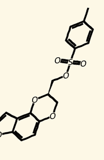 Cc1ccc(S(=O)(=O)OC[C@H]2COc3ccc4occc4c3O2)cc1